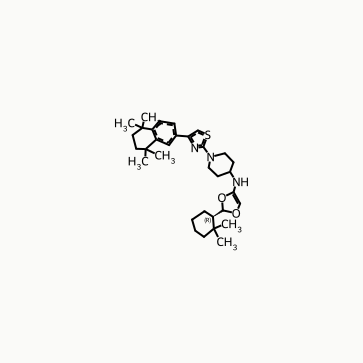 CC1(C)CCC(C)(C)c2cc(-c3csc(N4CCC(NC5=COC([C@@H]6CCCCC6(C)C)O5)CC4)n3)ccc21